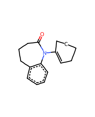 O=C1CCCc2ccccc2N1C1=CCCCC1